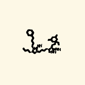 C=C1CC(C)CC(CC)(CCN2C(=N)NC[C@@H]2CCCCN2C[C@H](CCCC)N(CCCCC3CCCCC3)C2=N)C1